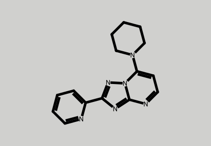 c1ccc(-c2nc3nccc(N4CCCCC4)n3n2)nc1